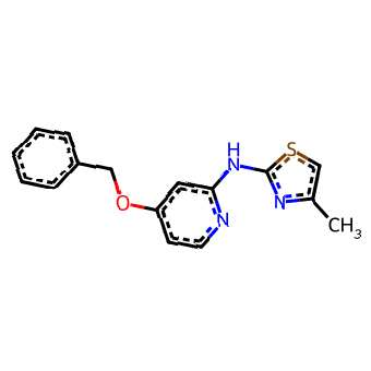 Cc1csc(Nc2cc(OCc3ccccc3)ccn2)n1